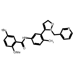 COc1ccc(C(C)(C)C)cc1C(=O)Nc1ccc(C)c(C2=CCON2Cc2cccnc2)c1